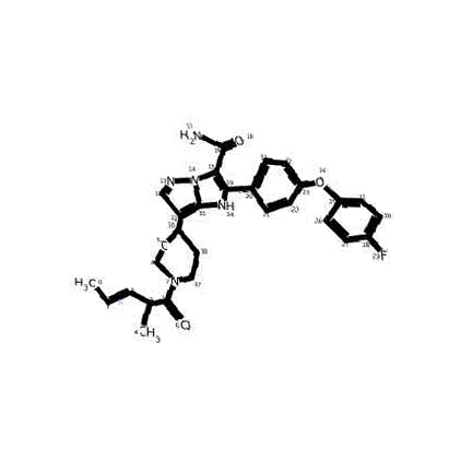 C/C=C/C(C)C(=O)N1CCC(c2cnn3c(C(N)=O)c(-c4ccc(Oc5ccc(F)cc5)cc4)[nH]c23)CC1